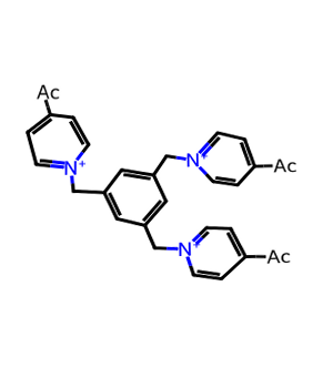 CC(=O)c1cc[n+](Cc2cc(C[n+]3ccc(C(C)=O)cc3)cc(C[n+]3ccc(C(C)=O)cc3)c2)cc1